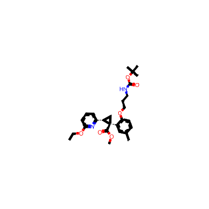 CCOc1cccc([C@@H]2C[C@]2(C(=O)OC)c2cc(C)ccc2OCCCNC(=O)OC(C)(C)C)n1